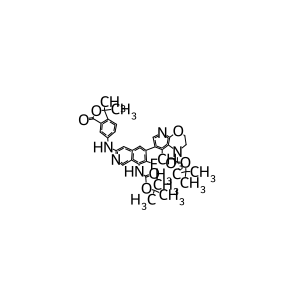 Cc1c(-c2cc3cc(Nc4ccc5c(c4)C(=O)OC5(C)C)ncc3c(NC(=O)OC(C)(C)C)c2F)cnc2c1N(C(=O)OC(C)(C)C)CCO2